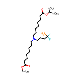 CCCCCCCCCOC(=O)CCCCCCCN(CCCCCCCC(=O)OC(CCCCCCCC)CCCCCCCC)CCCC(F)(F)P